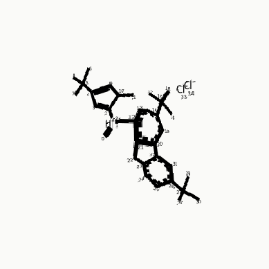 [CH2]=[Hf+2]([C]1=CC(C(C)(C)C)=CC1C)[c]1cc(C(C)(C)C)cc2c1Cc1ccc(C(C)(C)C)cc1-2.[Cl-].[Cl-]